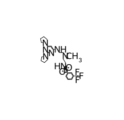 CN(CCNc1cc(N2CCCC2)nc(N2CCCC2)n1)CCNS(=O)(=O)c1cccc(C(F)(F)F)c1